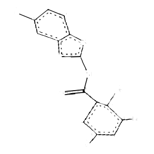 O=C(Nc1nc2ccc(Br)cc2s1)c1cc(Br)cc(Br)c1O